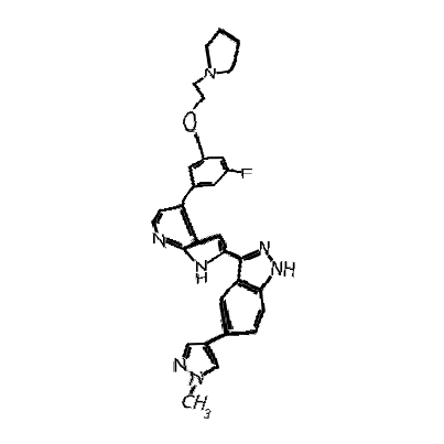 Cn1cc(-c2ccc3[nH]nc(-c4cc5c(-c6cc(F)cc(OCCN7CCCC7)c6)ccnc5[nH]4)c3c2)cn1